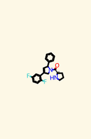 O=C([C@H]1CCCN1)N1CC(c2cc(F)ccc2F)=CC1c1ccccc1